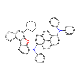 c1ccc(N(c2ccccc2)c2ccc3ccc4c(N(c5ccccc5)c5cccc6c5oc5c(C7CCCCC7)cc7ccccc7c56)ccc5ccc2c3c54)cc1